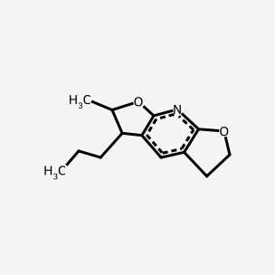 CCCC1c2cc3c(nc2OC1C)OCC3